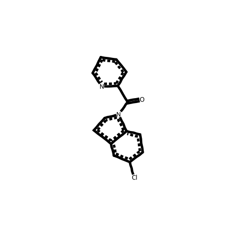 O=C(c1ccccn1)n1ccc2cc(Cl)ccc21